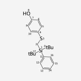 CC(C)(C)[Si](CSc1ccc(O)cc1)(c1ccccc1)C(C)(C)C